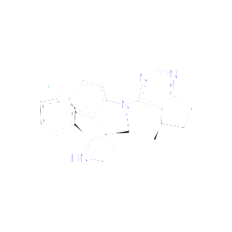 C[C@@H]1CCc2ncnc(N3C[C@]4(CCN[C@H]4c4ccccc4)c4cc(Cl)ccc43)c21